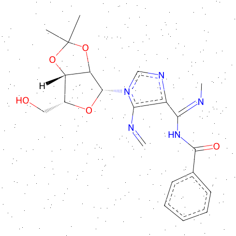 C=Nc1c(/C(=N\C)NC(=O)c2ccccc2)ncn1[C@@H]1O[C@H](CO)[C@@H]2OC(C)(C)OC21